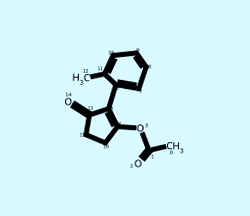 CC(=O)OC1=C(c2ccccc2C)C(=O)CC1